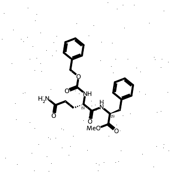 COC(=O)[C@H](Cc1ccccc1)NC(=O)[C@H](CCC(N)=O)NC(=O)OCc1ccccc1